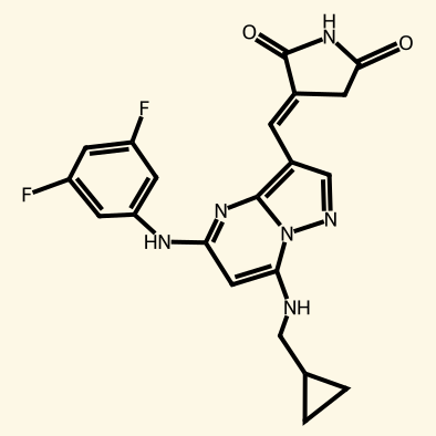 O=C1C/C(=C\c2cnn3c(NCC4CC4)cc(Nc4cc(F)cc(F)c4)nc23)C(=O)N1